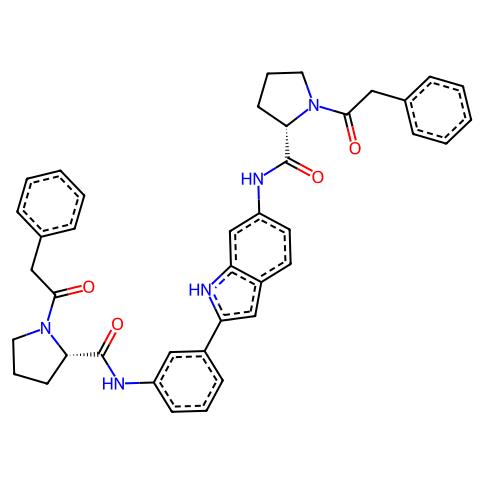 O=C(Nc1cccc(-c2cc3ccc(NC(=O)[C@@H]4CCCN4C(=O)Cc4ccccc4)cc3[nH]2)c1)[C@@H]1CCCN1C(=O)Cc1ccccc1